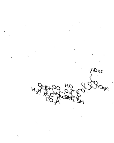 CCCCCCCCCCCCCC(=O)O[C@H](CCCCCCCCCCC)CC(=O)OC[C@H]1O[C@@H](S)[C@H](NC(C)=O)[C@H](OC(C)C(=O)N[C@@H](C)C(=O)N[C@H](CCC(=O)O)C(N)=O)[C@@H]1O